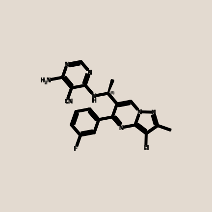 Cc1nn2cc([C@H](C)Nc3ncnc(N)c3C#N)c(-c3cccc(F)c3)nc2c1Cl